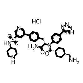 Cl.NC[C@H]1CC[C@H](C(=O)N(c2ccc(-c3nnn[nH]3)cc2)[C@@H](Cc2ccc(-c3cncc(S(=O)(=O)NC4CCNCC4)c3)cc2)C(N)=O)CC1